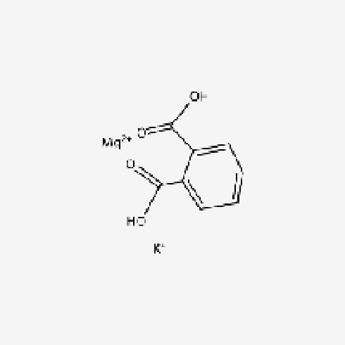 O=C(O)c1ccccc1C(=O)O.[K+].[Mg+2]